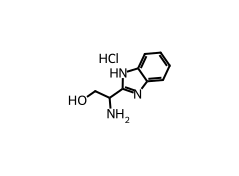 Cl.NC(CO)c1nc2ccccc2[nH]1